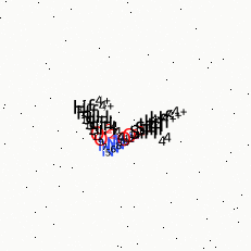 [Hf+4].[Hf+4].[Hf+4].[Hf+4].[Hf+4].[N-3].[N-3].[N-3].[N-3].[O-2].[O-2].[O-2].[O-2].[SiH4].[SiH4].[SiH4].[SiH4].[SiH4]